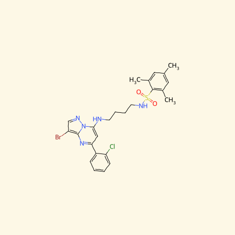 Cc1cc(C)c(S(=O)(=O)NCCCCNc2cc(-c3ccccc3Cl)nc3c(Br)cnn23)c(C)c1